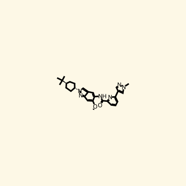 COc1cc2nn([C@H]3CC[C@H](C(C)(C)C)CC3)cc2cc1NC(=O)c1cccc(-c2cnn(C)c2)n1